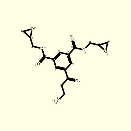 CCCC(=O)c1cc(C(=O)OCC2CO2)cc(C(=O)OCC2CO2)c1